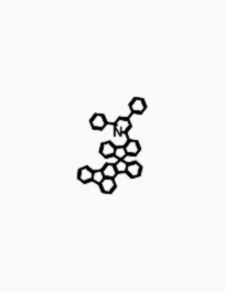 c1ccc(-c2cc(-c3ccccc3)nc(-c3cccc4c3-c3ccccc3C43c4ccccc4-c4c3cc3c5c(cccc45)-c4ccccc4-3)c2)cc1